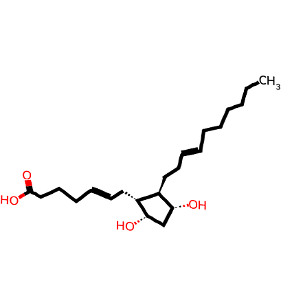 CCCCCCC=CCC[C@@H]1[C@@H](CC=CCCCC(=O)O)[C@@H](O)C[C@H]1O